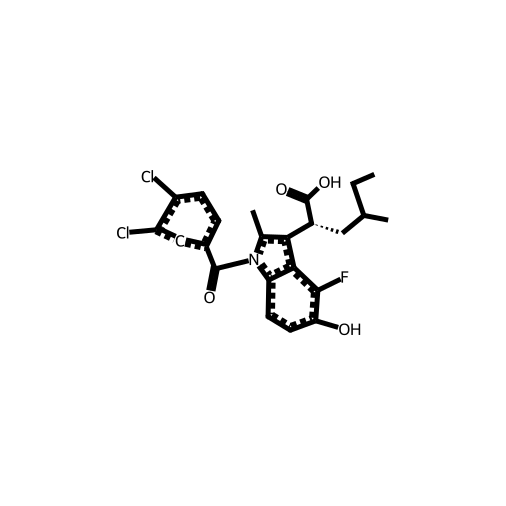 CCC(C)C[C@@H](C(=O)O)c1c(C)n(C(=O)c2ccc(Cl)c(Cl)c2)c2ccc(O)c(F)c12